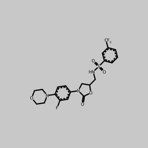 O=C1OC(CNS(=O)(=O)c2cccc(C(F)(F)F)c2)CN1c1ccc(N2CCOCC2)c(F)c1